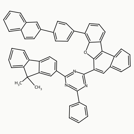 CC1(C)c2ccccc2-c2ccc(-c3nc(-c4ccccc4)nc(-c4cc5ccccc5c5c4oc4c(-c6ccc(-c7ccc8ccccc8c7)cc6)cccc45)n3)cc21